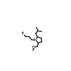 COCC1CCC(CC(C)C)N1CCCF